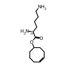 NCCCC[C@H](N)C(=O)OC1CCC=CCCC1